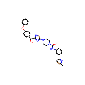 Cc1nc(-c2cccc(NC(=O)N3CCN(c4nc(C(O)c5ccc(Oc6ccccc6)cc5)ns4)CC3)c2)cs1